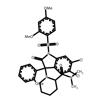 COc1ccc(S(=O)(=O)N2C(=O)C(c3ccccc3OC)(N3CCCCC3C(=O)N(C)C)c3cc(Cl)c(Cl)cc32)c(OC)c1